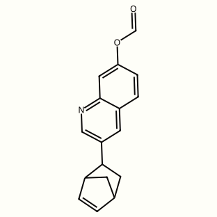 O=COc1ccc2cc(C3CC4C=CC3C4)cnc2c1